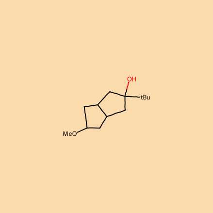 COC1CC2CC(O)(C(C)(C)C)CC2C1